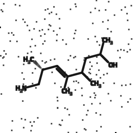 C/C(=C\[C@@H](C)CN)C(C)CC(C)O